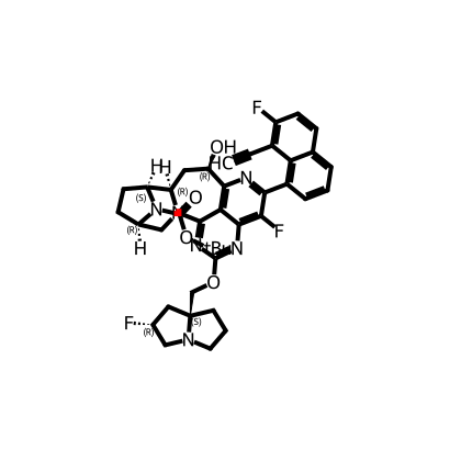 C#Cc1c(F)ccc2cccc(-c3nc4c5c(nc(OC[C@@]67CCCN6C[C@H](F)C7)nc5c3F)N3C[C@H]5CC[C@@H]([C@H]3C[C@H]4O)N5C(=O)OC(C)(C)C)c12